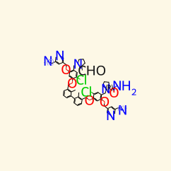 C/N=C/c1cncc(COc2cc(OCc3cccc(-c4cccc(COc5cc(OCc6cncc(/C=N/C)c6)c(CN6CCC[C@@H]6C(N)=O)cc5Cl)c4C)c3C)c(Cl)cc2CN2CCCC2C=O)c1